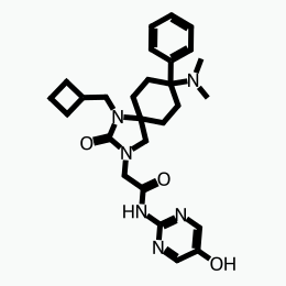 CN(C)C1(c2ccccc2)CCC2(CC1)CN(CC(=O)Nc1ncc(O)cn1)C(=O)N2CC1CCC1